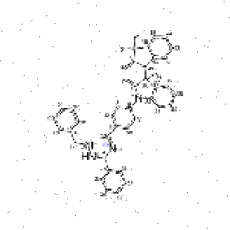 CC1(C)C2=CC=C3N(c4ccc(/C=N/C(NNCc5ccccc5)c5ccccc5)cc4)c4ccccc4C3(C)C2c2ccccc21